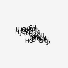 CC(C)[C@H](NC(=O)OC(C)(C)C)C(=O)OCCCC(I)C(OC(=O)O)OC(=O)[C@@H](NC(=O)OC(C)(C)C)C(C)C